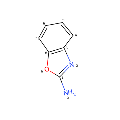 Nc1nc2ccc[c]c2o1